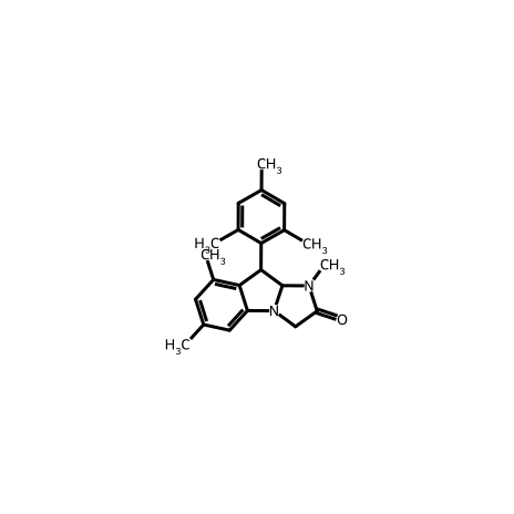 Cc1cc(C)c(C2c3c(C)cc(C)cc3N3CC(=O)N(C)C23)c(C)c1